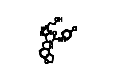 O=C(Nc1ccc(Cl)cc1)NC(Cc1ccc2c(c1)CCO2)c1nnn(CCO)n1